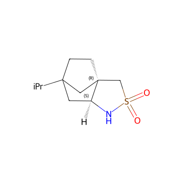 CC(C)C12CC[C@]3(C1)CS(=O)(=O)N[C@H]3C2